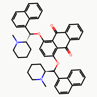 CN1CCCC[C@H]1C(Oc1ccc(OC(c2cccc3ccccc23)[C@@H]2CCCCN2C)c2c1C(=O)c1ccccc1C2=O)c1cccc2ccccc12